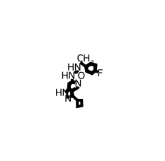 C[C@@H](NC(=O)Nc1cc2[nH]nc(C3CCC3)c2cn1)c1ccc(F)cc1